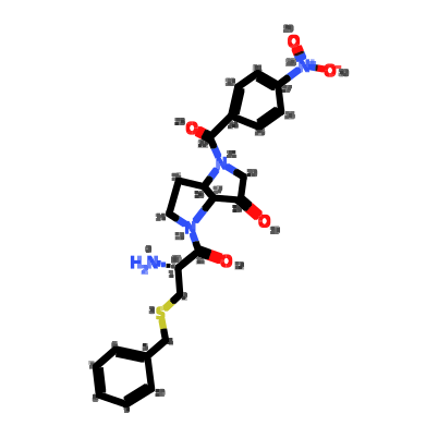 N[C@@H](CSCc1ccccc1)C(=O)N1CCC2C1C(=O)CN2C(=O)c1ccc([N+](=O)[O-])cc1